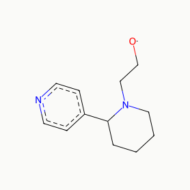 [O]CCN1CCCCC1c1ccncc1